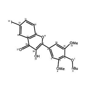 CCCCOc1c(OC)cc(-c2oc3ccc(I)cc3c(=O)c2O)cc1OC